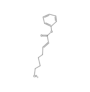 CCCCCC=CC(=O)Oc1ccccc1